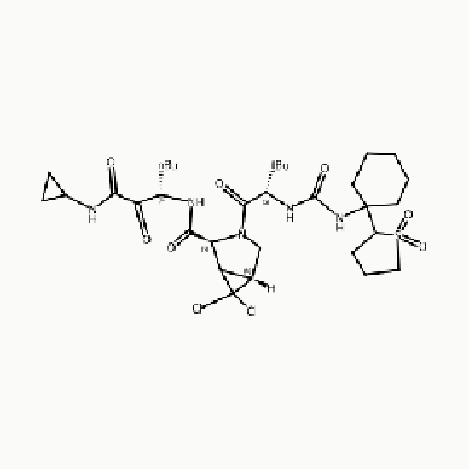 CCCC[C@H](NC(=O)[C@@H]1C2[C@H](CN1C(=O)[C@@H](NC(=O)NC1(C3CCCS3(=O)=O)CCCCC1)C(C)(C)C)C2(Cl)Cl)C(=O)C(=O)NC1CC1